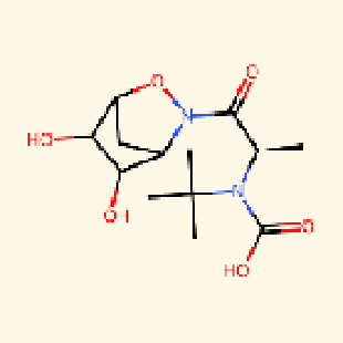 C[C@H](C(=O)N1OC2CC1C(O)C2O)N(C(=O)O)C(C)(C)C